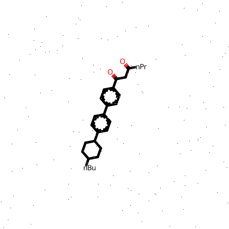 CCCCC1CCC(c2ccc(-c3ccc(C(=O)CC(=O)CCC)cc3)cc2)CC1